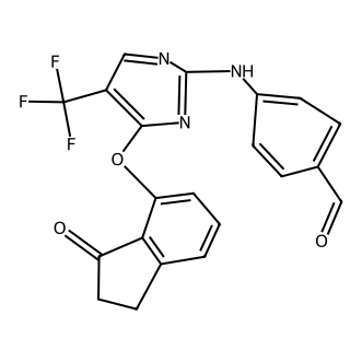 O=Cc1ccc(Nc2ncc(C(F)(F)F)c(Oc3cccc4c3C(=O)CC4)n2)cc1